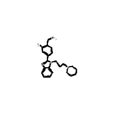 NCc1ccc(-c2nc3ccccc3n2CCCN2CCCCC2)cc1Cl